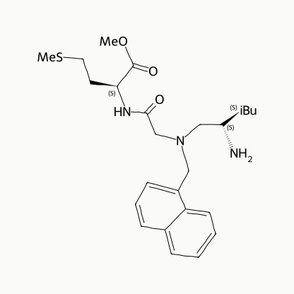 CC[C@H](C)[C@H](N)CN(CC(=O)N[C@@H](CCSC)C(=O)OC)Cc1cccc2ccccc12